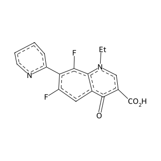 CCn1cc(C(=O)O)c(=O)c2cc(F)c(-c3ccccn3)c(F)c21